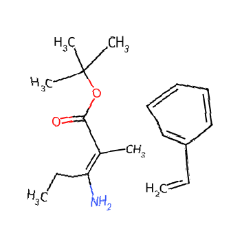 C=Cc1ccccc1.CCC(N)=C(C)C(=O)OC(C)(C)C